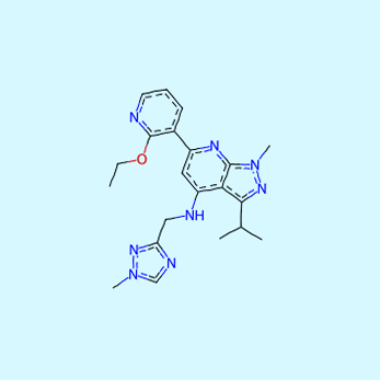 CCOc1ncccc1-c1cc(NCc2ncn(C)n2)c2c(C(C)C)nn(C)c2n1